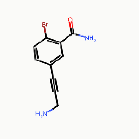 NCC#Cc1ccc(Br)c(C(N)=O)c1